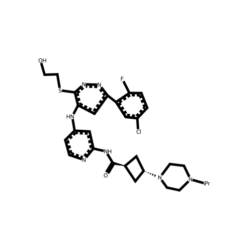 CC(C)N1CCN([C@H]2C[C@H](C(=O)Nc3cc(Nc4cc(-c5cc(Cl)ccc5F)nnc4SCCO)ccn3)C2)CC1